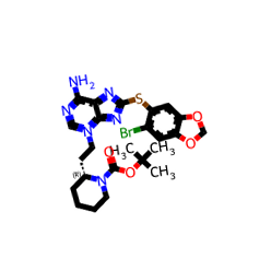 CC(C)(C)OC(=O)N1CCCC[C@@H]1CCn1cnc(N)c2nc(Sc3cc4c(cc3Br)OCO4)nc1-2